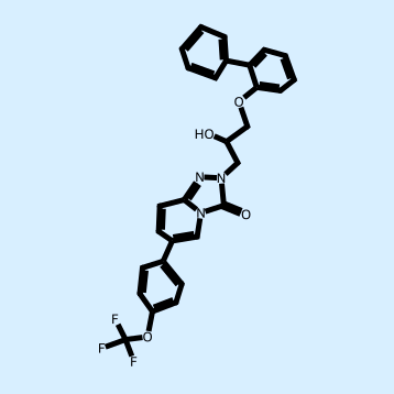 O=c1n(CC(O)COc2ccccc2-c2ccccc2)nc2ccc(-c3ccc(OC(F)(F)F)cc3)cn12